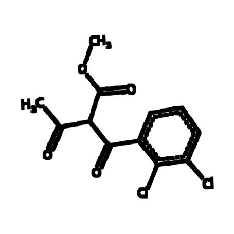 COC(=O)C(C(C)=O)C(=O)c1cccc(Cl)c1Cl